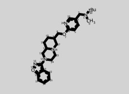 CN(Cc1ccc(OCC2CCC3CN(c4noc5ccccc45)CCN3C2)nc1)C(C)(C)C